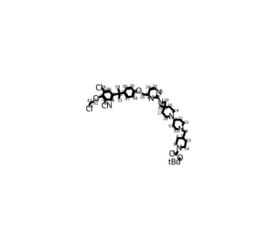 CC(C)(C)OC(=O)N1CCC(CN2CCC(N3CCC4(CC3)CN(c3nccc(COc5ccc(C(C)(C)c6cc(Cl)c(OCCCl)c(C#N)c6)cc5)n3)C4)CC2)CC1